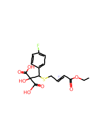 CCOC(=O)/C=C/CSC(c1ccc(F)cc1)C(O)(C(=O)O)C(=O)O